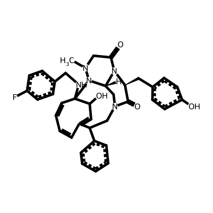 CN1CC(=O)N2[C@@H](Cc3ccc(O)cc3)C(=O)N3CC(c4ccccc4)C4=C\C(O)C(NCc5ccc(F)cc5)(\C=C/C=C\4)N1[C@H]2C3